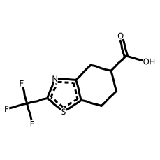 O=C(O)C1CCc2sc(C(F)(F)F)nc2C1